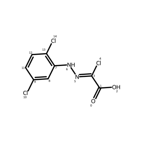 O=C(O)/C(Cl)=N/Nc1cc(Cl)ccc1Cl